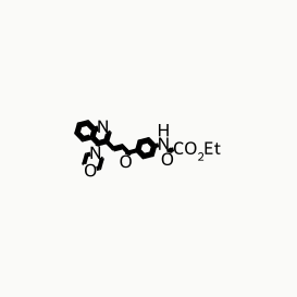 CCOC(=O)C(=O)Nc1ccc(C(=O)/C=C/c2cnc3ccccc3c2N2CCOCC2)cc1